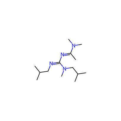 C/C(=N\C(=N\CC(C)C)N(C)CC(C)C)N(C)C